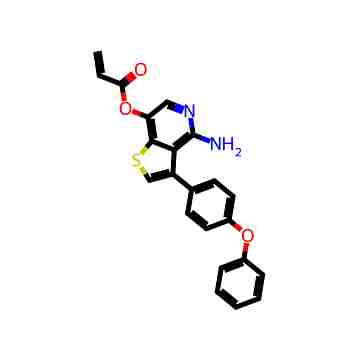 C=CC(=O)Oc1cnc(N)c2c(-c3ccc(Oc4ccccc4)cc3)csc12